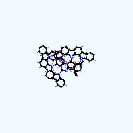 C#C/C(=C\C=C/C)c1nc(-n2c3ccccc3c3ccc4c5ccc6c7ccccc7n(C7=CCCC=C7)c6c5n(-c5ccccc5)c4c32)nc(-n2c3ccccc3c3ccc4c5ccc6c7ccccc7n(-c7ccccc7)c6c5n(-c5ccccc5)c4c32)n1